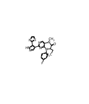 CCC1C(=O)N(C)c2cnc(-c3cn[nH]c3-c3nccs3)nc2N1c1ccc(F)cc1